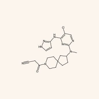 CN(c1ncc(Cl)c(Nc2cc[nH]n2)n1)C1CCC2(CCN(C(=O)CC#N)CC2)C1